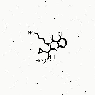 N#CCCCCn1c(C(NC(=O)O)C2CC2)nc2cccc(Cl)c2c1=O